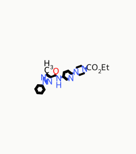 CCOC(=O)N1CCN(c2ccc(NC(=O)c3nn(-c4ccccc4)nc3C)cn2)CC1